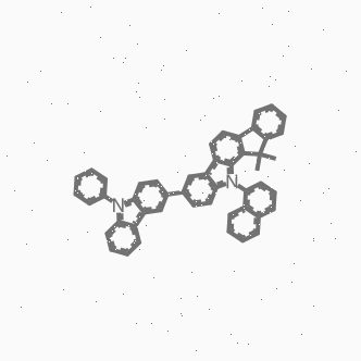 CC1(C)c2ccccc2-c2ccc3c4cc(-c5ccc6c(c5)c5ccccc5n6-c5ccccc5)ccc4n(-c4cccc5ccccc45)c3c21